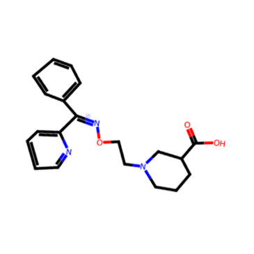 O=C(O)C1CCCN(CCO/N=C(/c2ccccc2)c2ccccn2)C1